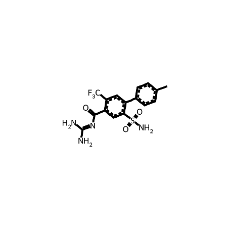 Cc1ccc(-c2cc(C(F)(F)F)c(C(=O)N=C(N)N)cc2S(N)(=O)=O)cc1